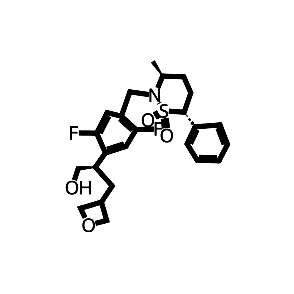 C[C@H]1CC[C@H](c2ccccc2)S(=O)(=O)N1Cc1cc(F)c([C@H](CO)CC2COC2)cc1F